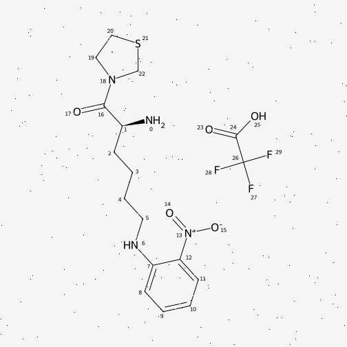 N[C@@H](CCCCNc1ccccc1[N+](=O)[O-])C(=O)N1CCSC1.O=C(O)C(F)(F)F